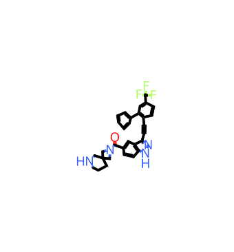 O=C(c1ccc2[nH]nc(C#Cc3ccc(C(F)(F)F)cc3-c3ccccc3)c2c1)N1CC2(CCCNC2)C1